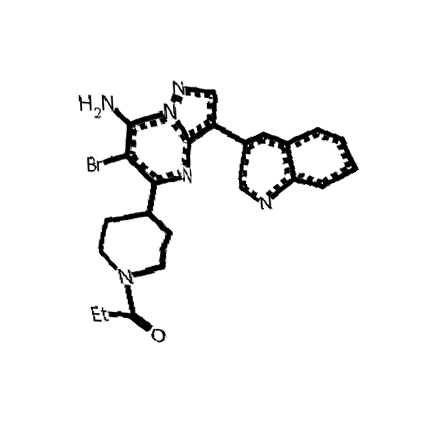 CCC(=O)N1CCC(c2nc3c(-c4cnc5ccccc5c4)cnn3c(N)c2Br)CC1